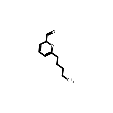 CCCCCC1=CC=CC(C=O)O1